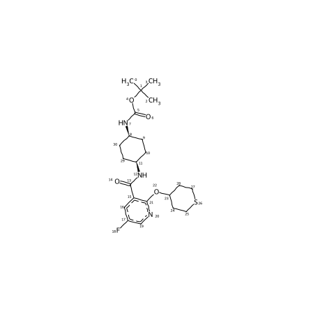 CC(C)(C)OC(=O)N[C@H]1CC[C@@H](NC(=O)c2cc(F)cnc2OC2CCSCC2)CC1